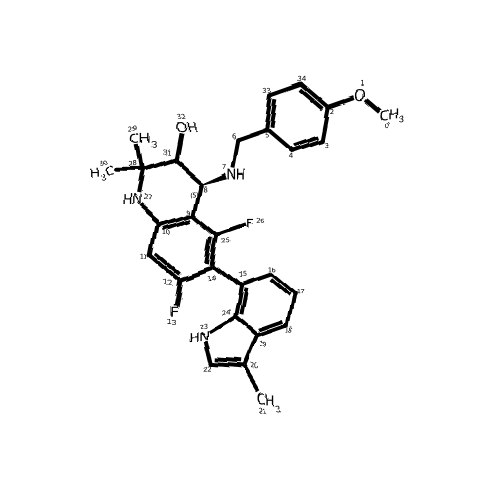 COc1ccc(CN[C@H]2c3c(cc(F)c(-c4cccc5c(C)c[nH]c45)c3F)NC(C)(C)C2O)cc1